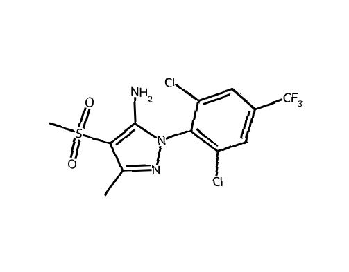 Cc1nn(-c2c(Cl)cc(C(F)(F)F)cc2Cl)c(N)c1S(C)(=O)=O